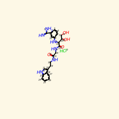 Cl.N=C(N)c1cccc(NC(C(=O)NCC(=O)NCCc2c[nH]c3ccccc23)C(O)CO)c1